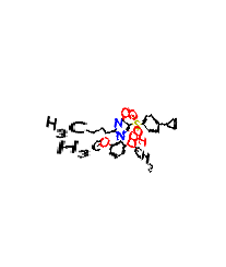 CCCCc1nc(=O)c(S(=O)(=O)c2ccc(C3CC3)cc2)c(O)n1-c1c(OC)cccc1OC